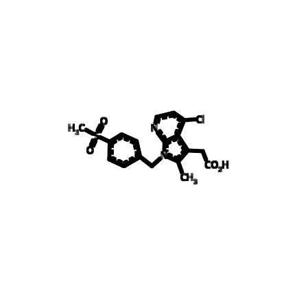 Cc1c(CC(=O)O)c2c(Cl)ccnc2n1Cc1ccc(S(C)(=O)=O)cc1